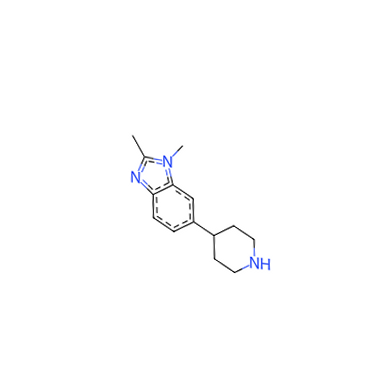 Cc1nc2ccc(C3CCNCC3)cc2n1C